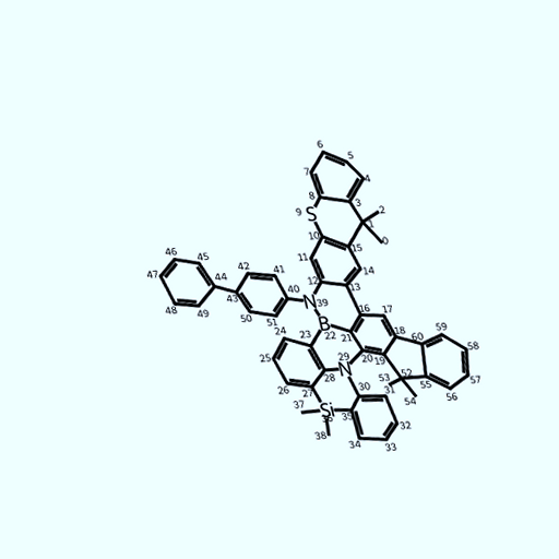 CC1(C)c2ccccc2Sc2cc3c(cc21)-c1cc2c(c4c1B(c1cccc5c1N4c1ccccc1[Si]5(C)C)N3c1ccc(-c3ccccc3)cc1)C(C)(C)c1ccccc1-2